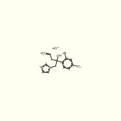 C=CCC(O)(Cn1ccnc1)c1ccc(Cl)cc1Br.Cl